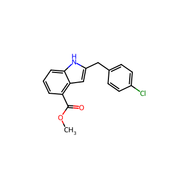 COC(=O)c1cccc2[nH]c(Cc3ccc(Cl)cc3)cc12